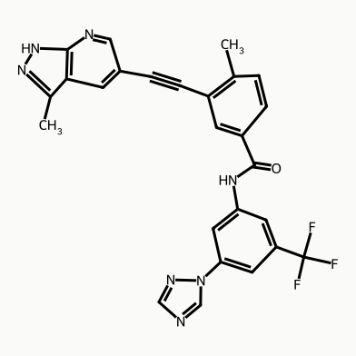 Cc1ccc(C(=O)Nc2cc(-n3cncn3)cc(C(F)(F)F)c2)cc1C#Cc1cnc2[nH]nc(C)c2c1